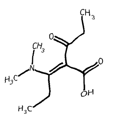 CCC(=O)C(C(=O)O)=C(CC)N(C)C